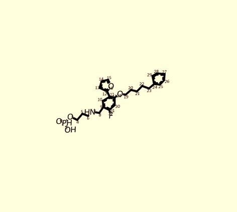 O=[PH](O)OCCCNCc1cc(-c2ccco2)c(OCCCCCc2ccccc2)cc1F